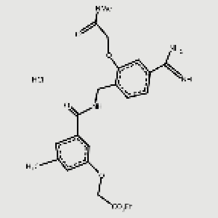 CCOC(=O)COc1cc(C)cc(C(=O)NCc2ccc(C(=N)N)cc2OCC(=O)NC)c1.Cl